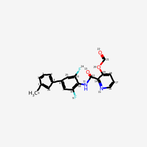 Cc1cccc(-c2cc(F)c(NC(=O)c3ncccc3OC=O)c(F)c2)c1